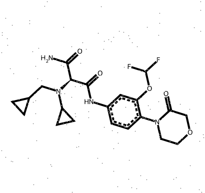 NC(=O)[C@@H](C(=O)Nc1ccc(N2CCOCC2=O)c(OC(F)F)c1)N(CC1CC1)C1CC1